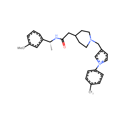 COc1cccc([C@@H](C)NC(=O)CC2CCN(Cc3ccn(-c4ccc(C(F)(F)F)cc4)c3)CC2)c1